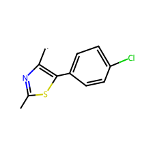 [CH2]c1nc(C)sc1-c1ccc(Cl)cc1